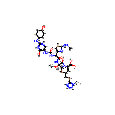 CO[C@@]1(NC(=O)C(NC(=O)Nc2cnc(NC3CCC(O)CC3)nc2O)C2=CSC(N)N2)C(=O)N2C(C(=O)[O-])=CC(CSc3nnnn3C)S[C@H]21.[Na+]